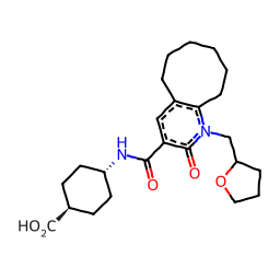 O=C(N[C@H]1CC[C@H](C(=O)O)CC1)c1cc2c(n(CC3CCCO3)c1=O)CCCCCC2